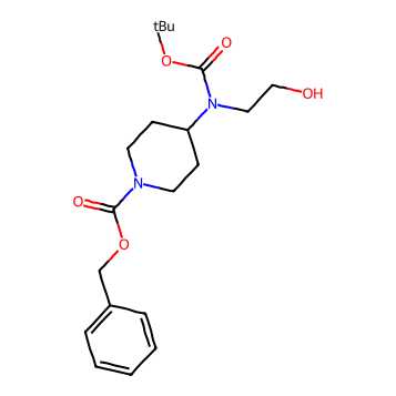 CC(C)(C)OC(=O)N(CCO)C1CCN(C(=O)OCc2ccccc2)CC1